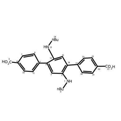 CCCCNc1cc(-c2ccc(C(=O)O)cc2)c(NCCCC)cc1-c1ccc(C(=O)O)cc1